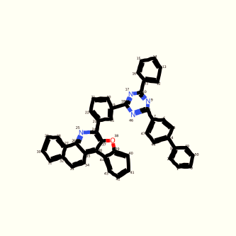 c1ccc(-c2ccc(-c3nc(-c4ccccc4)nc(-c4cccc(-c5nc6c7ccccc7ccc6c6c5oc5ccccc56)c4)n3)cc2)cc1